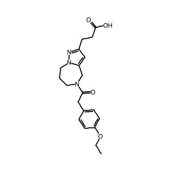 CCOc1ccc(CC(=O)N2CCCn3nc(CCC(=O)O)cc3C2)cc1